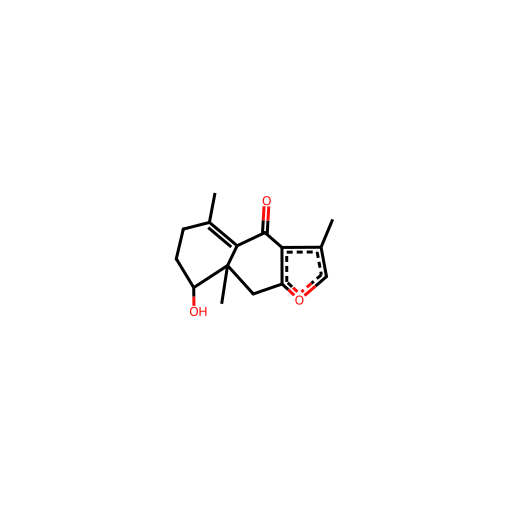 CC1=C2C(=O)c3c(C)coc3CC2(C)C(O)CC1